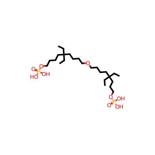 CCC(CC)(CCCCOCCCCC(CC)(CC)CCCOP(=O)(O)O)CCCCOP(=O)(O)O